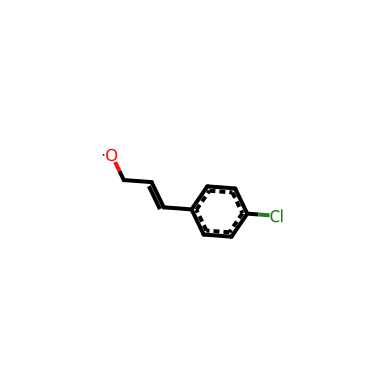 [O]CC=Cc1ccc(Cl)cc1